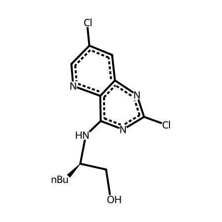 CCCC[C@H](CO)Nc1nc(Cl)nc2cc(Cl)cnc12